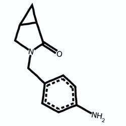 Nc1ccc(CN2CC3CC3C2=O)cc1